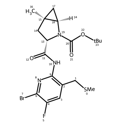 CSCc1cc(F)c(Br)nc1NC(=O)[C@@H]1C[C@@]2(C)C[C@H]2N1C(=O)OC(C)(C)C